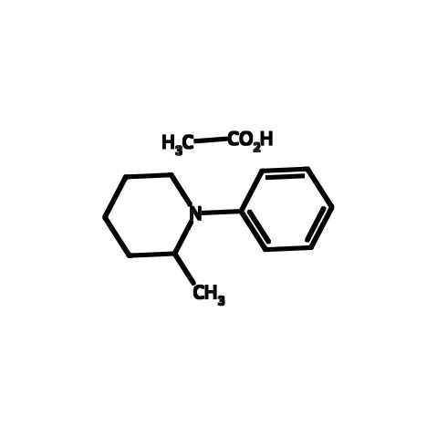 CC(=O)O.CC1CCCCN1c1ccccc1